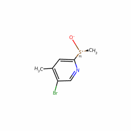 Cc1cc([S@+](C)[O-])ncc1Br